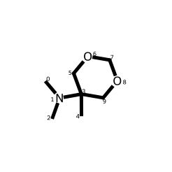 CN(C)C1(C)COCOC1